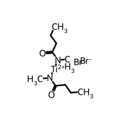 CCCC(=O)[N](C)[Ti+2][N](C)C(=O)CCC.[Br-].[Br-]